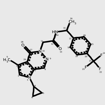 Cc1cn(C2CC2)c2cnn(CC(=O)NC(C)c3ccc(C(F)(F)F)cc3)c(=O)c12